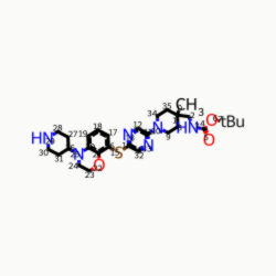 CC1(CNC(=O)OC(C)(C)C)CCN(c2cnc(Sc3cccc4c3OCCN4C3CCNCC3)cn2)CC1